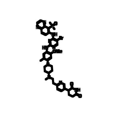 COc1cc(N2CCC(N(C)CCc3ccc(C4CCC(=O)NC4=O)cn3)CC2)c(C)cc1Nc1ncc(Br)c(Nc2ccc3nccnc3c2P(C)(C)=O)n1